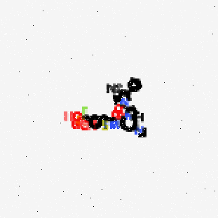 N#C[C@@H]1[C@@H](c2ccccc2)CN(C(=O)[C@@H]2CC[C@@H]3C[C@@H](N4CCC4)CC[C@H](NC(=O)c4cc5cc([C@H](F)P(=O)(O)O)ccc5s4)C(=O)N32)C12CC2